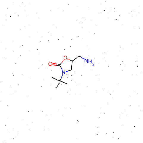 CC(C)(C)N1CC(CN)OC1=O